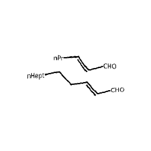 CCCC=CC=O.CCCCCCCCCC=CC=O